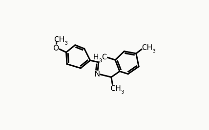 COc1ccc(C=NC(C)c2ccc(C)cc2C)cc1